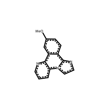 COc1ccc2c(c1)c1ncccc1n1ccnc21